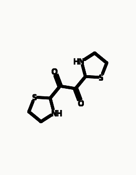 O=C(C(=O)C1NCCS1)C1NCCS1